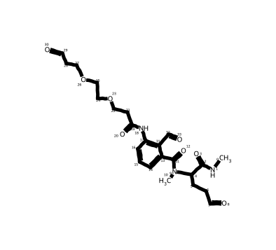 CNC(=O)C(CCC=O)N(C)C(=O)c1cccc(NC(=O)CCOCCOCCC=O)c1C=O